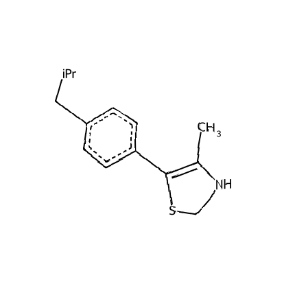 CC1=C(c2ccc(CC(C)C)cc2)SCN1